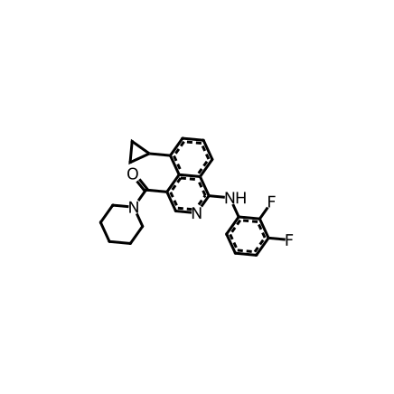 O=C(c1cnc(Nc2cccc(F)c2F)c2cccc(C3CC3)c12)N1CCCCC1